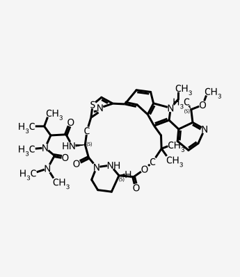 CCn1c(-c2cccnc2[C@H](C)OC)c2c3cc(ccc31)-c1csc(n1)C[C@H](NC(=O)C(C(C)C)N(C)C(=O)N(C)C)C(=O)N1CCC[C@H](N1)C(=O)OCC(C)(C)C2